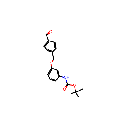 CC(C)(C)OC(=O)Nc1cccc(OCc2ccc(C=O)cc2)c1